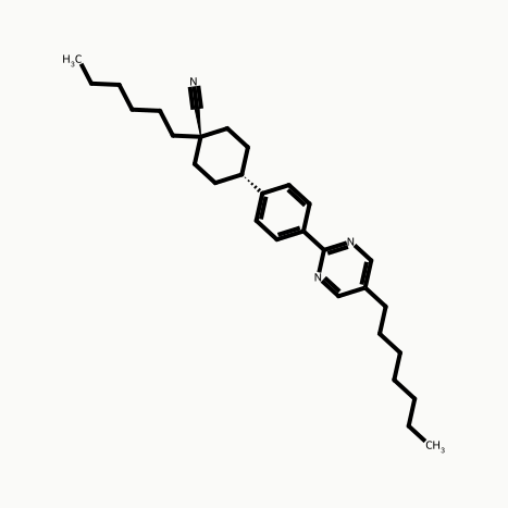 CCCCCCCc1cnc(-c2ccc([C@H]3CC[C@@](C#N)(CCCCCC)CC3)cc2)nc1